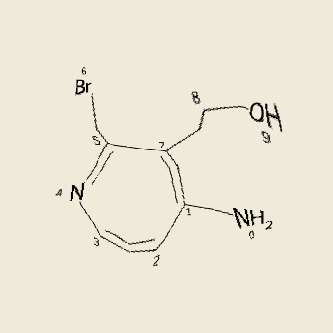 Nc1ccnc(Br)c1CO